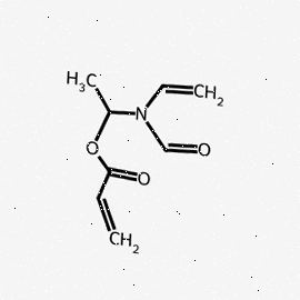 C=CC(=O)OC(C)N(C=C)C=O